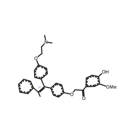 COc1cc(C(=O)COc2ccc(/C(=C(\C)c3ccccc3)c3ccc(OCCN(C)C)cc3)cc2)ccc1O